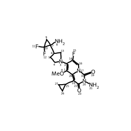 COc1c(N2CCC(C3(N)CC3(F)F)C2)c(F)cn2c(=O)n(N)c(=O)c(C3CC3)c12